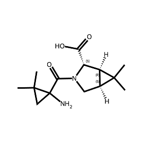 CC1(C)[C@@H]2[C@@H](C(=O)O)N(C(=O)C3(N)CC3(C)C)C[C@@H]21